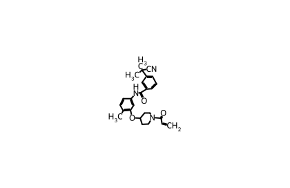 C=CC(=O)N1CCC(Oc2cc(NC(=O)c3cccc(C(C)(C)C#N)c3)ccc2C)CC1